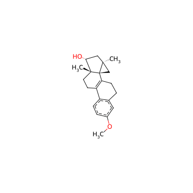 COc1ccc2c(c1)CCC1=C2CC[C@]2(C)[C@H](O)C[C@@]3(C)C[C@]132